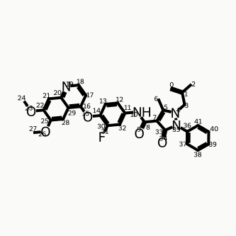 C=C(C)Cn1c(C)c(C(=O)Nc2ccc(Oc3ccnc4cc(OC)c(OC)cc34)c(F)c2)c(=O)n1-c1ccccc1